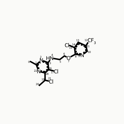 Cc1nc(NCCOc2ncc(C(F)(F)F)cc2Cl)c(Cl)c(C(C)Cl)n1